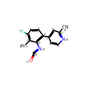 CC(C)c1c(F)ccc(-c2ccnc(C#N)c2)c1N=C=O